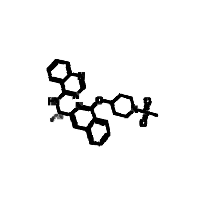 C[C@H](Nc1ncnc2ccccc12)c1cc2ccccc2c(OC2CCN(S(C)(=O)=O)CC2)n1